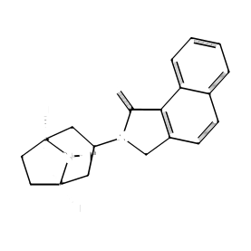 CN1[C@@H]2CC[C@H]1CC(N1Cc3ccc4ccccc4c3C1=O)C2